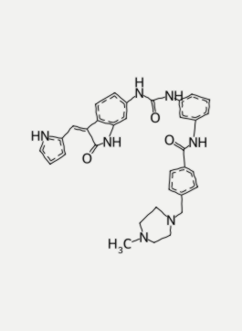 CN1CCN(Cc2ccc(C(=O)Nc3cccc(NC(=O)Nc4ccc5c(c4)NC(=O)/C5=C\c4ccc[nH]4)c3)cc2)CC1